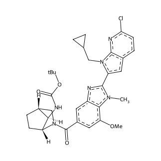 COc1cc(C(=O)N2C[C@H]3CC[C@@H]2[C@@H]3NC(=O)OC(C)(C)C)cc2nc(-c3cc4ccc(Cl)nc4n3CC3CC3)n(C)c12